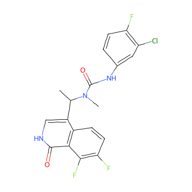 CC(c1c[nH]c(=O)c2c(F)c(F)ccc12)N(C)C(=O)Nc1ccc(F)c(Cl)c1